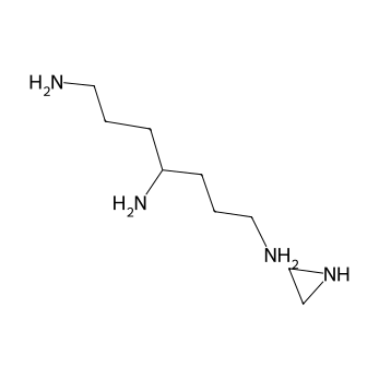 C1CN1.NCCCC(N)CCCN